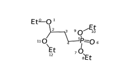 CCOC(CCP(=O)(OCC)OCC)OCC